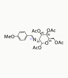 COc1ccc(/C=N/[C@H]2C(OC(C)=O)O[C@H](COC(C)=O)[C@H](OC(C)=O)[C@@H]2OC(C)=O)cc1